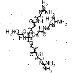 NOCC(=O)NC(COCCC(=O)NCCN=C(N)N)(COCCC(=O)NCCN=C(N)N)COCCC(=O)NCCN=C(N)N